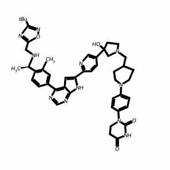 Cc1cc(-c2ncnc3[nH]c(-c4ccc(C5(O)CCN(CC6CCN(c7ccc(N8CCC(=O)NC8=O)cc7)CC6)C5)cn4)cc23)ccc1[C@@H](C)NCc1nc(C(C)(C)C)no1